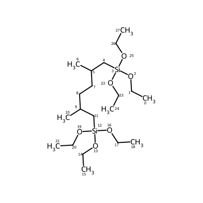 CCO[Si](CC(C)CCC(C)C[Si](OCC)(OCC)OCC)(OCC)OCC